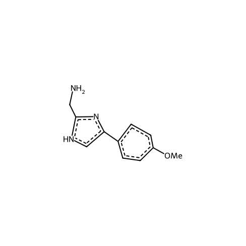 COc1ccc(-c2c[nH]c(CN)n2)cc1